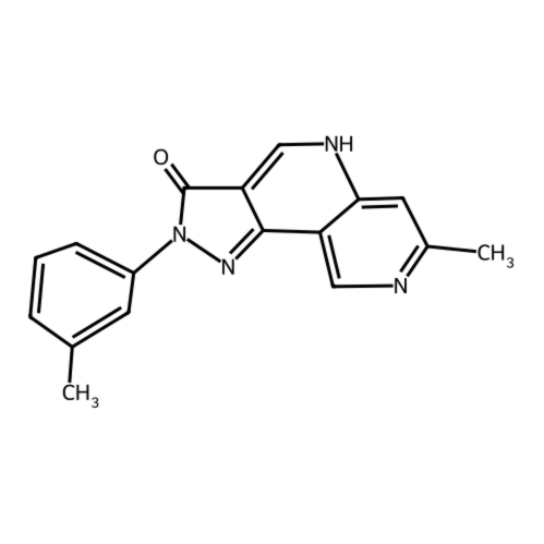 Cc1cccc(-n2nc3c4cnc(C)cc4[nH]cc-3c2=O)c1